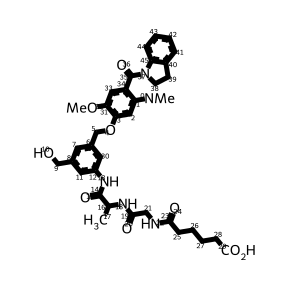 CNc1cc(OCc2cc(CO)cc(NC(=O)C(C)NC(=O)CNC(=O)CCCCC(=O)O)c2)c(OC)cc1C(=O)N1CCc2ccccc21